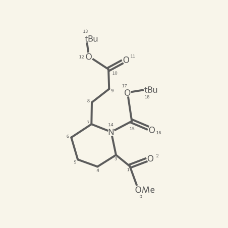 COC(=O)C1CCCC(CCC(=O)OC(C)(C)C)N1C(=O)OC(C)(C)C